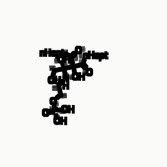 CCCCCCCC(=O)C(O)(C(=O)CCCCCCC)[C@@](O)(CO)NCCOP(=O)(O)O